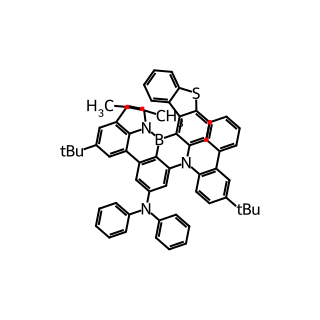 CC(C)(C)c1ccc(N2c3cc(N(c4ccccc4)c4ccccc4)cc4c3B(c3c2ccc2sc5ccccc5c32)N2c3c-4cc(C(C)(C)C)cc3C3(C)CCCCC23C)c(-c2ccccc2)c1